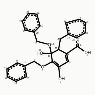 O=C(O)C1=CC(O)=C(OCc2ccccc2)C(O)(OCc2ccccc2)C1Cc1ccccc1